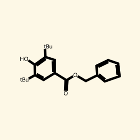 CC(C)(C)c1cc(C(=O)OCc2ccccc2)cc(C(C)(C)C)c1O